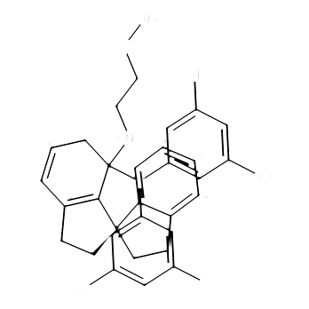 CC(C)(C)SCCNC1(P(c2cc(C(C)(C)C)cc(C(C)(C)C)c2)c2cc(C(C)(C)C)cc(C(C)(C)C)c2)CC=CC2=C1[C@@]1(CC2)CCc2ccccc21